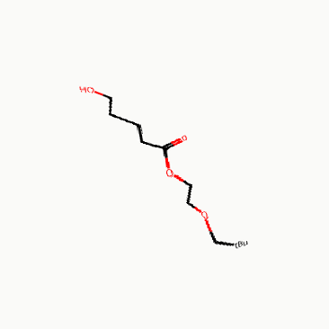 CC(C)(C)COCCOC(=O)CCCCO